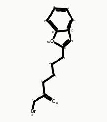 O=C(CBr)CCCCc1cc2ccccc2o1